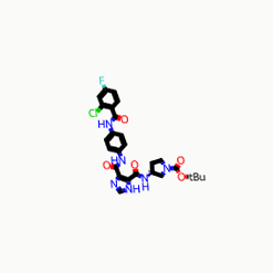 CC(C)(C)OC(=O)N1CC[C@H](NC(=O)c2[nH]cnc2C(=O)Nc2ccc(NC(=O)c3ccc(F)cc3Cl)cc2)C1